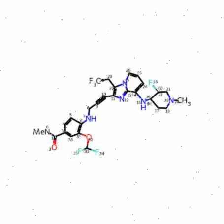 CNC(=O)c1ccc(NCC#Cc2nc3c(N[C@@H]4CCN(C)C[C@@H]4F)cccn3c2CC(F)(F)F)c(OC(F)F)c1